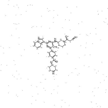 N#CCC(=O)N1CCC[C@@H](Nc2nc(-c3cnn4ccccc34)nc(-c3ccc(C(=O)OC4CCNCC4)cc3)c2F)C1